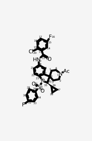 CC(=O)N1CCC2(CC1)c1cc(NC(=O)c3cc(F)ccc3Cl)ccc1N(S(=O)(=O)c1ccc(F)cc1)[C@@H]2C1CC1